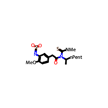 CCCCCC(C)N(C(=O)Cc1ccc(OC)c(N=S(=O)=O)c1)C(=S)NC